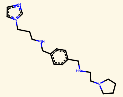 c1cn(CCCNCc2ccc(CNCCN3CCCC3)cc2)cn1